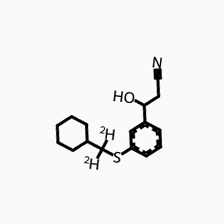 [2H]C([2H])(Sc1cccc(C(O)CC#N)c1)C1CCCCC1